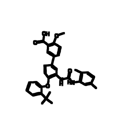 COc1ccc(-c2ccc(Oc3ccccc3C(C)(C)C)c(NC(=O)Nc3cc(C)ccc3C)c2)cc1C(=O)O